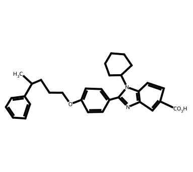 CC(CCCOc1ccc(-c2nc3cc(C(=O)O)ccc3n2C2CCCCC2)cc1)c1ccccc1